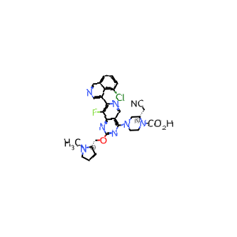 CN1CCC[C@H]1COc1nc(N2CCN(C(=O)O)[C@@H](CC#N)C2)c2cnc(-c3cncc4cccc(Cl)c34)c(F)c2n1